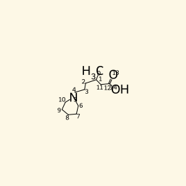 CC(CCCN1CCCCC1)CC(=O)O